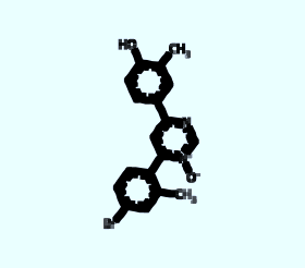 Cc1cc(-c2cc(-c3ccc(Br)cc3C)[n+]([O-])cn2)ccc1O